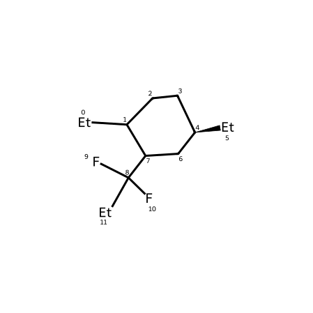 CCC1CC[C@@H](CC)CC1C(F)(F)CC